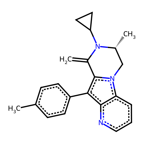 C=C1c2c(-c3ccc(C)cc3)c3ncccc3n2C[C@@H](C)N1C1CC1